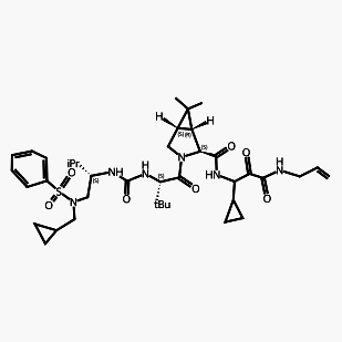 C=CCNC(=O)C(=O)C(NC(=O)[C@@H]1[C@@H]2[C@H](CN1C(=O)[C@@H](NC(=O)N[C@H](CN(CC1CC1)S(=O)(=O)c1ccccc1)C(C)C)C(C)(C)C)C2(C)C)C1CC1